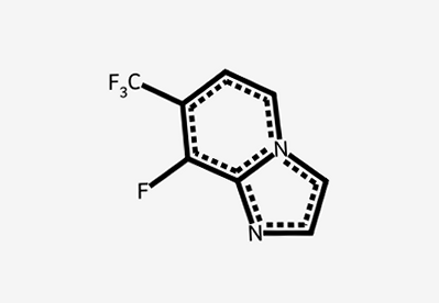 Fc1c(C(F)(F)F)ccn2ccnc12